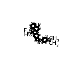 CN(C)c1ccc(-n2ncc3cc(C(O)(c4ccc(F)c5ccccc45)C(F)(F)F)ccc32)cc1